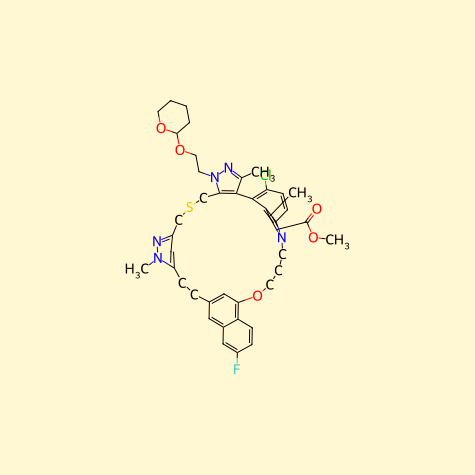 COC(=O)c1c(C)c2c3c(Cl)ccc2n1CCCOc1cc(cc2cc(F)ccc12)CCc1cc(nn1C)CSCc1c-3c(C)nn1CCOC1CCCCO1